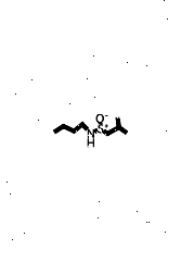 CCCCN[S+]([O-])CC(C)C